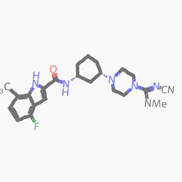 CN/C(=N\C#N)N1CCN([C@H]2CCC[C@@H](NC(=O)c3cc4c(F)ccc(C)c4[nH]3)C2)CC1